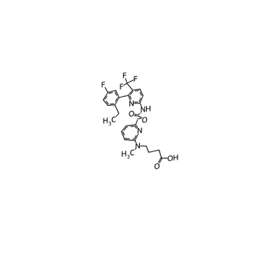 CCc1ccc(F)cc1-c1nc(NS(=O)(=O)c2cccc(N(C)CCCC(=O)O)n2)ccc1C(F)(F)F